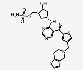 NS(=O)(=O)OCC1C[C@@H](Nc2ncncc2C(=O)c2cc(CN3CCc4sccc4C3)cs2)C[C@@H]1O